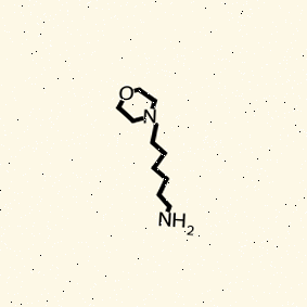 NCCCCCCCN1CCOCC1